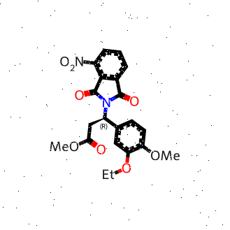 CCOc1cc([C@@H](CC(=O)OC)N2C(=O)c3cccc([N+](=O)[O-])c3C2=O)ccc1OC